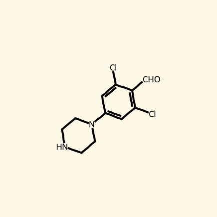 O=Cc1c(Cl)cc(N2CCNCC2)cc1Cl